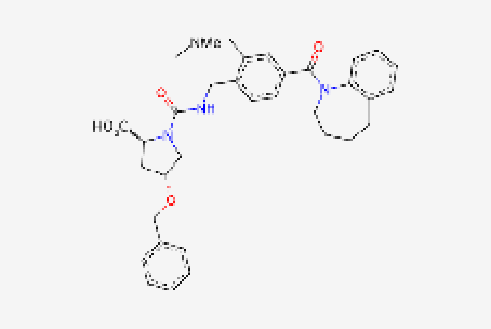 CNC.Cc1cc(C(=O)N2CCCCc3ccccc32)ccc1CNC(=O)N1C[C@H](OCc2ccccc2)C[C@H]1C(=O)O